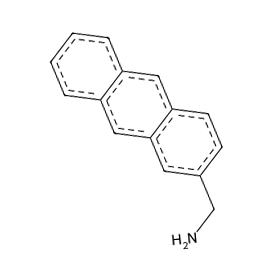 NCc1ccc2cc3ccccc3cc2c1